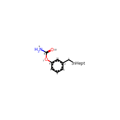 CCCCCCCCc1cccc(OC(N)=O)c1